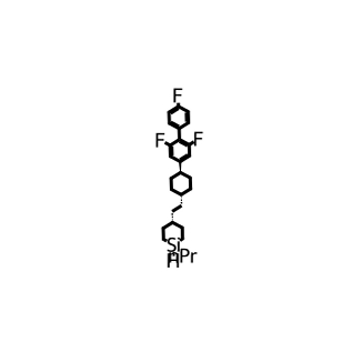 CCC[Si@H]1CC[C@H](CC[C@H]2CC[C@H](c3cc(F)c(-c4ccc(F)cc4)c(F)c3)CC2)CC1